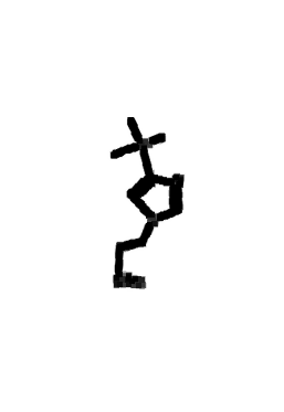 CCCCCCCCn1cnc([N+](C)(C)C)c1